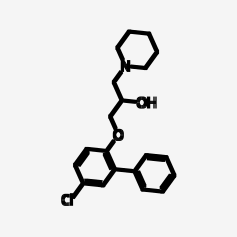 OC(COc1ccc(Cl)cc1-c1ccccc1)CN1CCCCC1